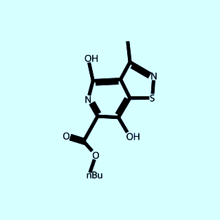 CCCCOC(=O)c1nc(O)c2c(C)nsc2c1O